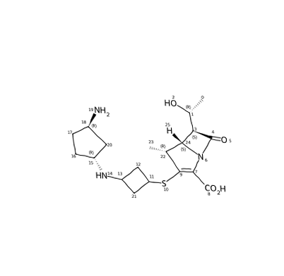 C[C@@H](O)[C@H]1C(=O)N2C(C(=O)O)=C(SC3CC(N[C@@H]4CC[C@@H](N)C4)C3)[C@H](C)[C@H]12